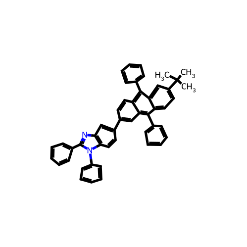 CC(C)(C)c1ccc2c(-c3ccccc3)c3cc(-c4ccc5c(c4)nc(-c4ccccc4)n5-c4ccccc4)ccc3c(-c3ccccc3)c2c1